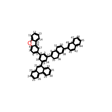 C1=C(c2cc(-c3ccc4oc5ccccc5c4c3)cc(-c3cc4ccccc4c4ccccc34)c2)CCc2cc(-c3ccc4ccccc4c3)ccc21